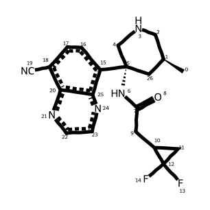 C[C@@H]1CNC[C@](NC(=O)CC2CC2(F)F)(c2ccc(C#N)c3nccnc23)C1